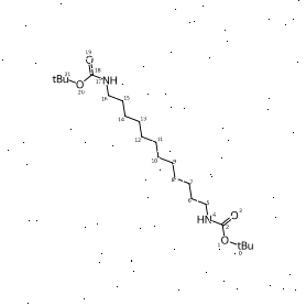 CC(C)(C)OC(=O)NCCCCCCCCCCCCNC(=O)OC(C)(C)C